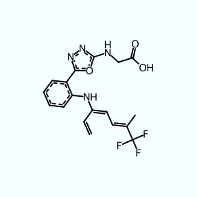 C=C/C(=C\C=C(/C)C(F)(F)F)Nc1ccccc1-c1nnc(NCC(=O)O)o1